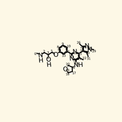 CNCC(O)COc1cccc(-c2nc(N[C@@H]3CCOC3)c(C)c(-c3c(C)nn(C)c3C)n2)c1